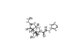 CC(C)C[C@@H]1[C@@H]2[C@@H]3C=N[C@@]1(C(=O)NCc1ccsc1)C[C@@H]3CN2CC(C)C